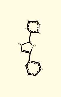 C1=C(c2ccccc2)O[C](c2ccccc2)S1